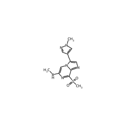 CBc1cn2c(-c3cnn(C)c3)cnc2c(S(C)(=O)=O)n1